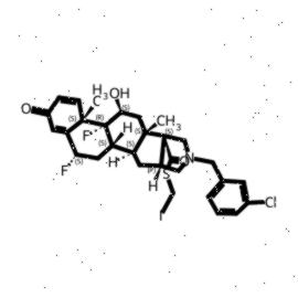 C[C@]12C=CC(=O)C=C1[C@@H](F)C[C@H]1[C@@H]3C[C@H]4CN(Cc5cccc(Cl)c5)C[C@@]4(C(=O)SCI)[C@@]3(C)C[C@H](O)[C@@]12F